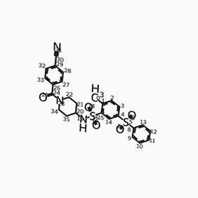 Cc1ccc(S(=O)(=O)c2ccccc2)cc1S(=O)(=O)NC1CCN(C(=O)c2ccc(C#N)cc2)CC1